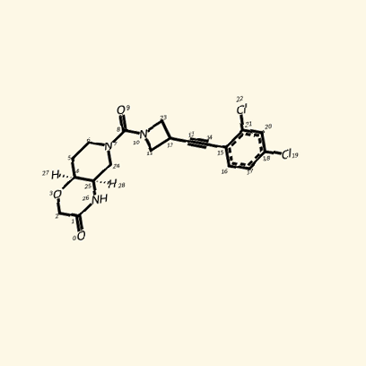 O=C1CO[C@H]2CCN(C(=O)N3CC(C#Cc4ccc(Cl)cc4Cl)C3)C[C@H]2N1